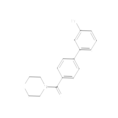 CC(C)c1cccc(-c2ccc(C(=O)N3CCOCC3)cc2)c1